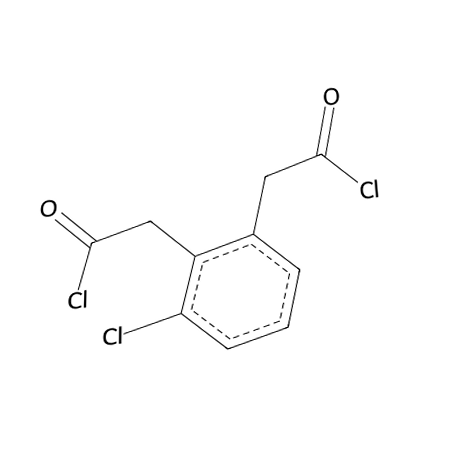 O=C(Cl)Cc1cccc(Cl)c1CC(=O)Cl